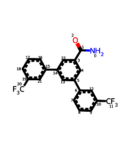 NC(=O)c1cc(-c2cccc(C(F)(F)F)c2)cc(-c2cccc(C(F)(F)F)c2)c1